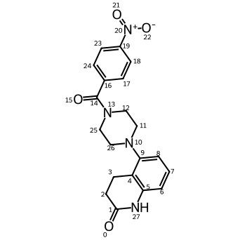 O=C1CCc2c(cccc2N2CCN(C(=O)c3ccc([N+](=O)[O-])cc3)CC2)N1